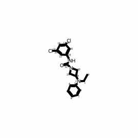 CCN(c1ccccc1)C1CN(C(=O)Nc2cc(Cl)cc(Cl)c2)C1